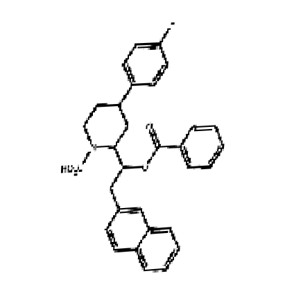 O=C(OC(Cc1ccc2ccccc2c1)C1CC(c2ccc(F)cc2)CCN1C(=O)O)c1ccccc1